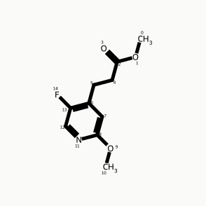 COC(=O)CCc1cc(OC)ncc1F